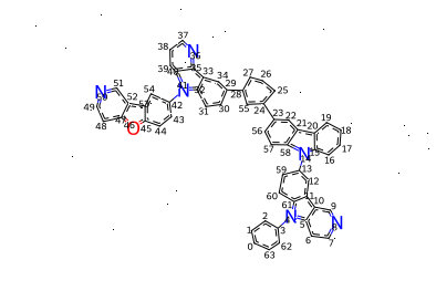 c1ccc(-n2c3ccncc3c3cc(-n4c5ccccc5c5cc(-c6cccc(-c7ccc8c(c7)c7ncccc7n8-c7ccc8oc9ccncc9c8c7)c6)ccc54)ccc32)cc1